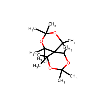 CC1OC(C)(C)OC(C)(C)C12C(C)(C)OC(C)(C)OC2(C)C